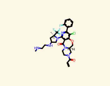 C=CC(=O)N1CCN2C(=O)c3c(N4CC(NCCNC)C[C@@]4(C)C(F)(F)F)nc(-c4ccccc4F)c(Cl)c3OC[C@H]2C1